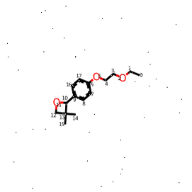 CCOCCOc1ccc(C2OCC2(C)C)cc1